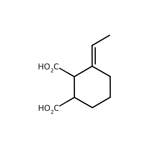 CC=C1CCCC(C(=O)O)C1C(=O)O